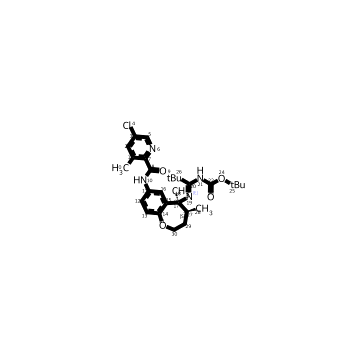 Cc1cc(Cl)cnc1C(=O)Nc1ccc2c(c1)[C@@](C)(/N=C(/NC(=O)OC(C)(C)C)C(C)(C)C)[C@@H](C)CCO2